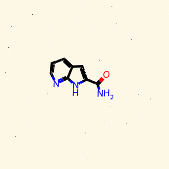 NC(=O)c1cc2cccnc2[nH]1